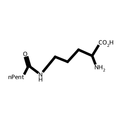 CCCCCC(=O)NCCCC(N)C(=O)O